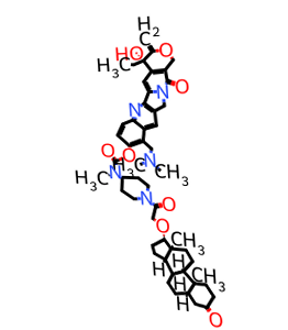 C=C1OCc2c(cc3n(c2=O)Cc2cc4c(CN(C)C)c(OC(=O)N(C)C5CCN(C(=O)CO[C@H]6CC[C@H]7[C@@H]8CC[C@H]9CC(=O)CC[C@]9(C)[C@H]8CC[C@]67C)CC5)ccc4nc2-3)[C@@]1(O)CC